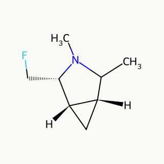 CC1[C@@H]2C[C@@H]2[C@H](CF)N1C